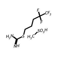 CS(=O)(=O)O.N=C(N)SCCCC(F)(F)C(F)(F)F